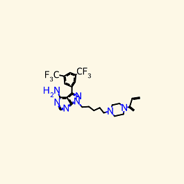 C=CC(=C)N1CCN(CCCCCn2nc(-c3cc(C(F)(F)F)cc(C(F)(F)F)c3)c3c(N)ncnc32)CC1